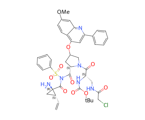 C=C[C@@H]1C[C@]1(N)C(=O)N(C(=O)[C@@H]1CC(Oc2cc(-c3ccccc3)nc3cc(OC)ccc23)CN1C(=O)[C@H](CNC(=O)CCl)NC(=O)OC(C)(C)C)S(=O)(=O)c1ccccc1